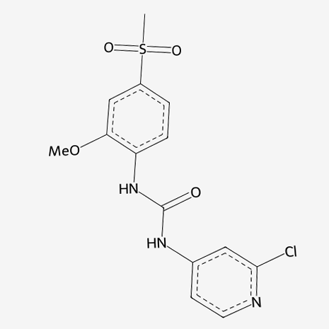 COc1cc(S(C)(=O)=O)ccc1NC(=O)Nc1ccnc(Cl)c1